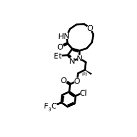 CCc1nn(C[C@@H](C)COC(=O)c2cc(C(F)(F)F)ccc2Cl)c2c1C(=O)NCCCOCCC2